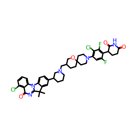 CC1(C)c2cc(C3CCCN(CC4CCC5(CCN(c6cc(F)c(C7CCC(=O)NC7=O)c(F)c6Cl)CC5)OC4)C3)ccc2-n2c1nc(=O)c1c(Cl)cccc12